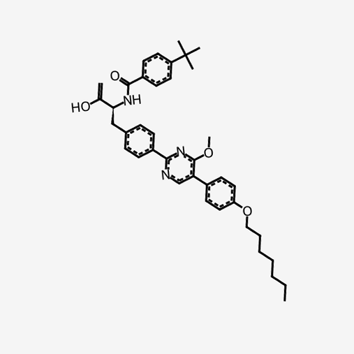 C=C(O)[C@H](Cc1ccc(-c2ncc(-c3ccc(OCCCCCCC)cc3)c(OC)n2)cc1)NC(=O)c1ccc(C(C)(C)C)cc1